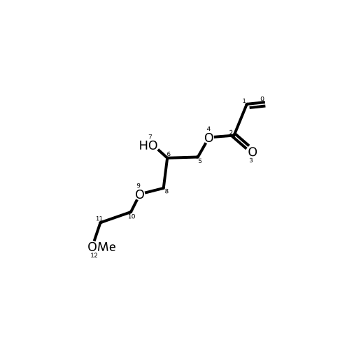 C=CC(=O)OCC(O)COCCOC